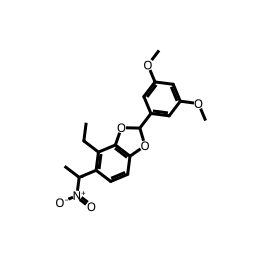 CCc1c([C](C)[N+](=O)[O-])ccc2c1OC(c1cc(OC)cc(OC)c1)O2